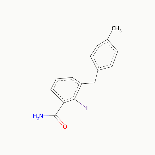 Cc1ccc(Cc2cccc(C(N)=O)c2I)cc1